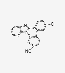 N#Cc1ccc2c3cc(Cl)ccc3c3nc4ccccc4n3c2c1